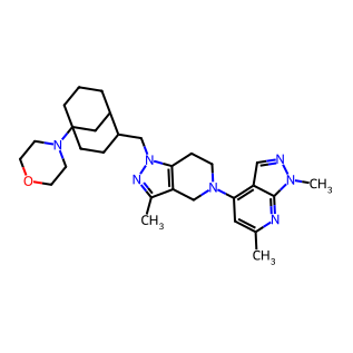 Cc1cc(N2CCc3c(c(C)nn3CC3CCC4(N5CCOCC5)CCCC3C4)C2)c2cnn(C)c2n1